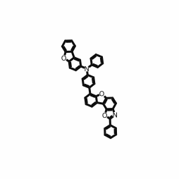 c1ccc(-c2nc3ccc4oc5c(-c6ccc(N(c7ccccc7)c7ccc8oc9ccccc9c8c7)cc6)cccc5c4c3o2)cc1